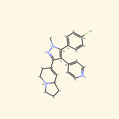 Cn1nc(C2=CC3CCCN3CC2)c(-c2ccncc2)c1-c1ccc(F)cc1